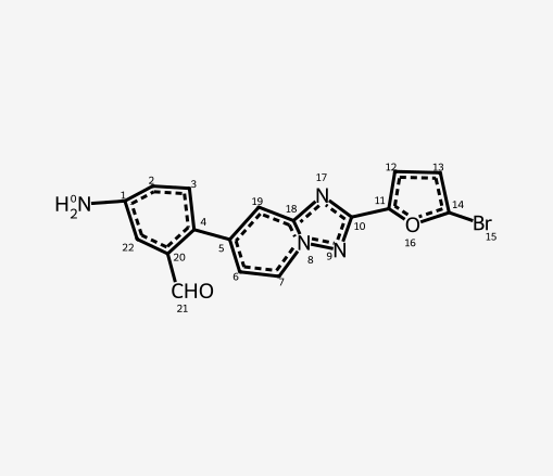 Nc1ccc(-c2ccn3nc(-c4ccc(Br)o4)nc3c2)c(C=O)c1